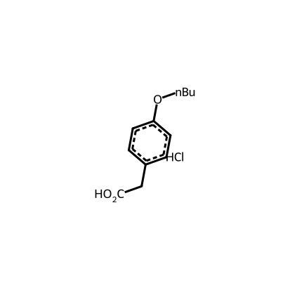 CCCCOc1ccc(CC(=O)O)cc1.Cl